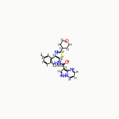 COc1ccc(C)cc1-c1nc(C2CCOCC2)sc1NC(=O)c1cnn2cccnc12